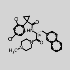 CN1CCN(C(=O)[C@@H](Cc2ccc3ccccc3c2)NC(=O)C2(c3ccc(Cl)cc3Cl)CC2)CC1